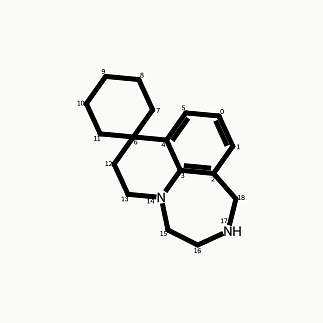 c1cc2c3c(c1)C1(CCCCC1)CCN3CCNC2